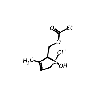 CCC(=O)OCC1C(C)=CCS1(O)O